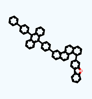 c1ccc(-c2ccc(-c3c4ccccc4c(-c4ccc(-c5ccc6ccc7c(ccc8cccc(-c9ccc%10c(c9)oc9ccccc9%10)c87)c6c5)cc4)c4ccccc34)cc2)cc1